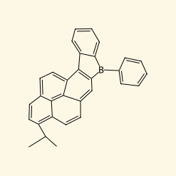 CC(C)c1ccc2ccc3c4c(cc5ccc1c2c53)B(c1ccccc1)c1ccccc1-4